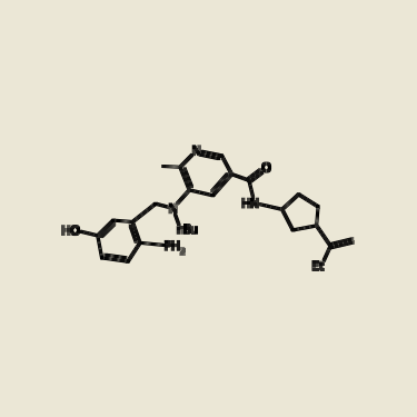 C=C(CC)C1CCC(NC(=O)c2cnc(C)c(N(CCCC)Cc3cc(O)ccc3P)c2)C1